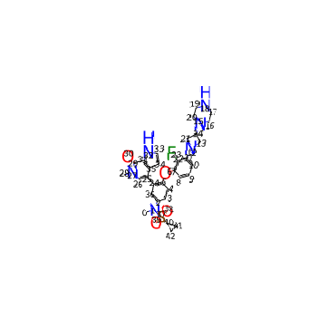 CN(c1ccc(Oc2cccc(N3CC(N4CCNCC4)C3)c2F)c(-c2cn(C)c(=O)c3[nH]ccc23)c1)S(=O)(=O)C1CC1